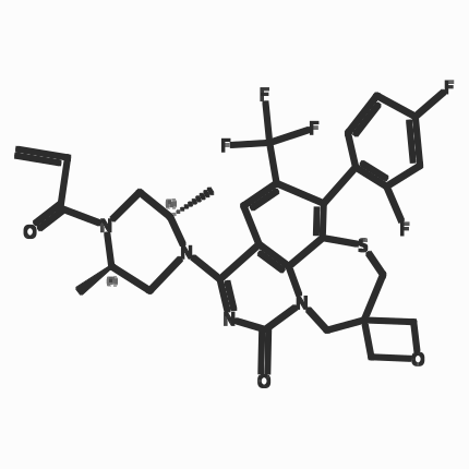 C=CC(=O)N1C[C@H](C)N(c2nc(=O)n3c4c(c(-c5ccc(F)cc5F)c(C(F)(F)F)cc24)SCC2(COC2)C3)C[C@H]1C